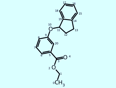 CCOC(=O)c1cccc(OC2CCc3ccccc32)c1